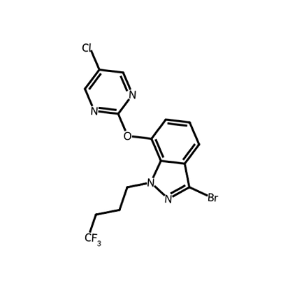 FC(F)(F)CCCn1nc(Br)c2cccc(Oc3ncc(Cl)cn3)c21